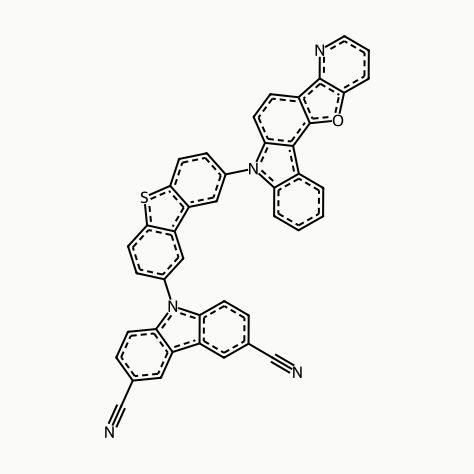 N#Cc1ccc2c(c1)c1cc(C#N)ccc1n2-c1ccc2sc3ccc(-n4c5ccccc5c5c6oc7cccnc7c6ccc54)cc3c2c1